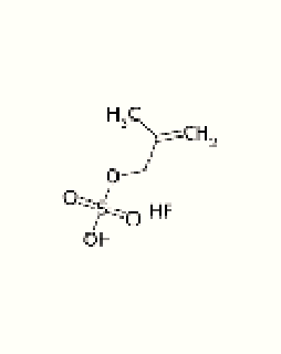 C=C(C)COS(=O)(=O)O.F